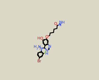 N=NC(=O)CCCCCOc1cc2c(cc1O)C(N(N)c1ccc(Br)cc1F)NC=N2